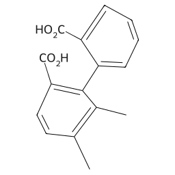 Cc1ccc(C(=O)O)c(-c2ccccc2C(=O)O)c1C